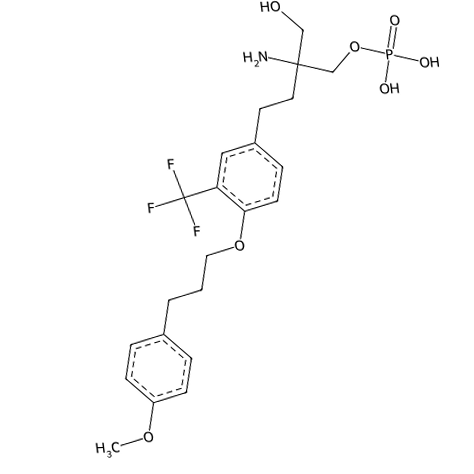 COc1ccc(CCCOc2ccc(CCC(N)(CO)COP(=O)(O)O)cc2C(F)(F)F)cc1